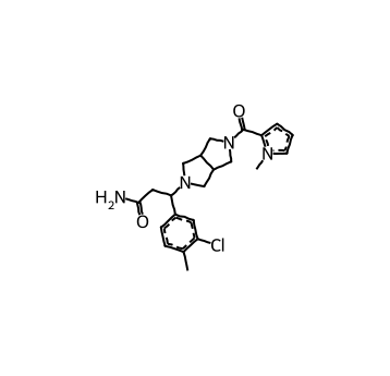 Cc1ccc(C(CC(N)=O)N2CC3CN(C(=O)c4cccn4C)CC3C2)cc1Cl